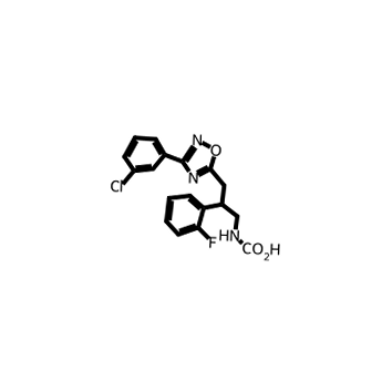 O=C(O)NCC(Cc1nc(-c2cccc(Cl)c2)no1)c1ccccc1F